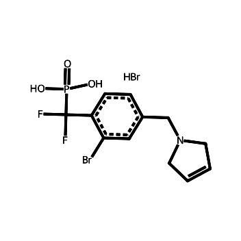 Br.O=P(O)(O)C(F)(F)c1ccc(CN2CC=CC2)cc1Br